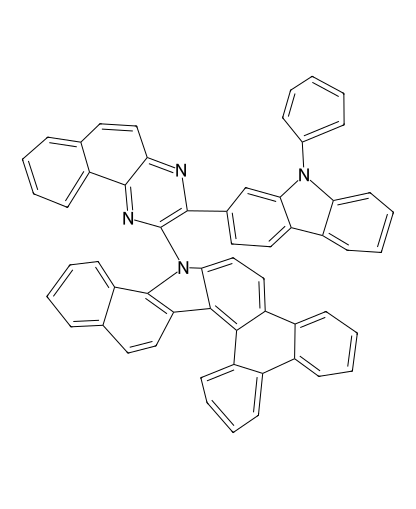 c1ccc(-n2c3ccccc3c3ccc(-c4nc5ccc6ccccc6c5nc4-n4c5ccc6c7ccccc7c7ccccc7c6c5c5ccc6ccccc6c54)cc32)cc1